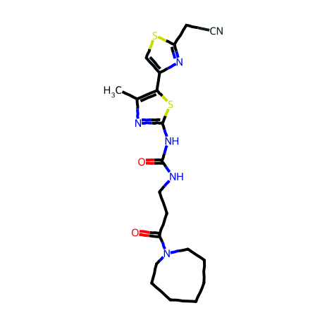 Cc1nc(NC(=O)NCCC(=O)N2CCCCCCC2)sc1-c1csc(CC#N)n1